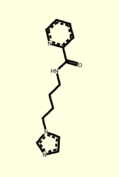 O=C(NCCCCn1ccnc1)c1ccccn1